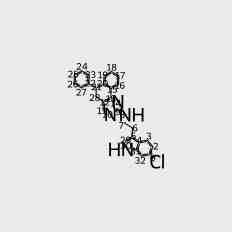 Clc1ccc2c(CCNc3ncc4c(n3)-c3ccccc3C(c3ccccc3)C4)c[nH]c2c1